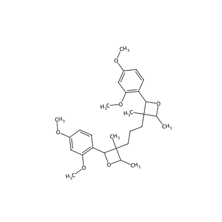 COc1ccc(C2OC(C)C2(C)CCCC2(C)C(C)OC2c2ccc(OC)cc2OC)c(OC)c1